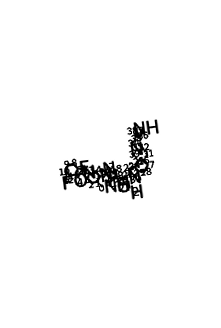 Cc1cc(Oc2c(F)cccc2F)ncc1-n1ncc(C(=O)c2cc3c4c(ccc3[nH]2)CCN(CC2CNC2)C4)c1N